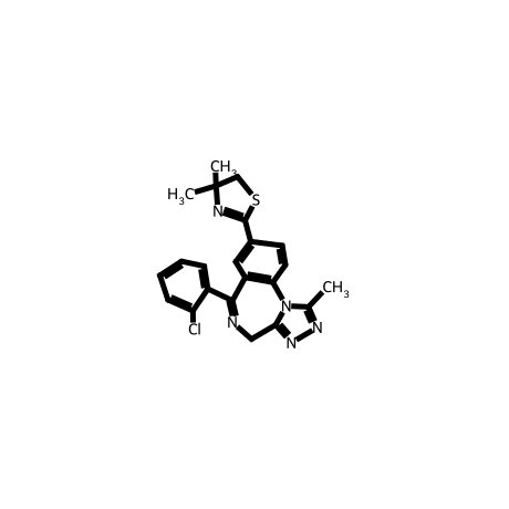 Cc1nnc2n1-c1ccc(C3=NC(C)(C)CS3)cc1C(c1ccccc1Cl)=NC2